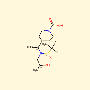 C[C@H](O)CN([C@@H](C)C1CCN(C(=O)O)CC1)[S@@+]([O-])C(C)(C)C